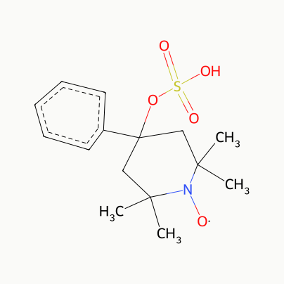 CC1(C)CC(OS(=O)(=O)O)(c2ccccc2)CC(C)(C)N1[O]